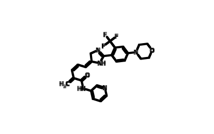 C=C(/C=C\C=C1/CN=C(c2ccc(N3CCOCC3)cc2C(F)(F)F)N1)C(=O)Nc1cccnc1